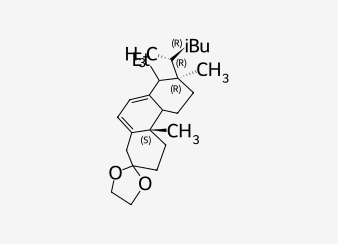 CCC1C2=CC=C3CC4(CC[C@@]3(C)C2CC[C@]1(C)[C@H](C)[C@H](C)CC)OCCO4